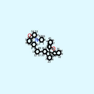 c1ccc(N(c2cccc(-c3cccc(-c4ccc5c(c4)-c4ccccc4C54c5ccc6ccccc6c5Oc5c4ccc4ccccc54)c3)c2)c2cccc3oc4ccccc4c23)cc1